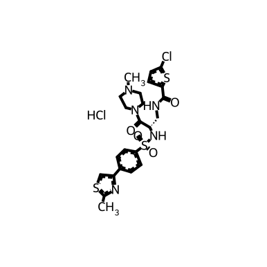 Cc1nc(-c2ccc(S(=O)(=O)N[C@@H](CNC(=O)c3ccc(Cl)s3)C(=O)N3CCN(C)CC3)cc2)cs1.Cl